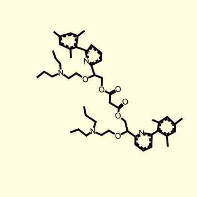 CCCN(CCC)CCOC(COC(=O)CC(=O)OCC(OCCN(CCC)CCC)c1cccc(-c2c(C)cc(C)cc2C)n1)c1cccc(-c2c(C)cc(C)cc2C)n1